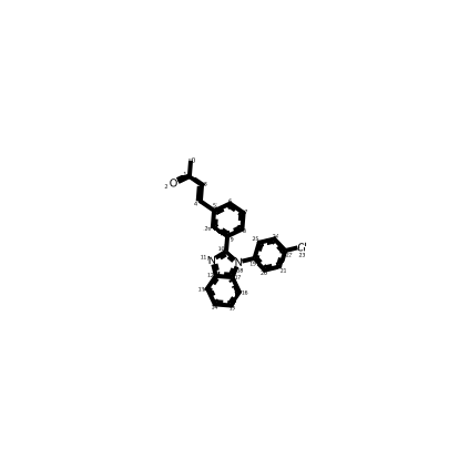 CC(=O)/C=C/c1cccc(-c2nc3ccccc3n2-c2ccc(Cl)cc2)c1